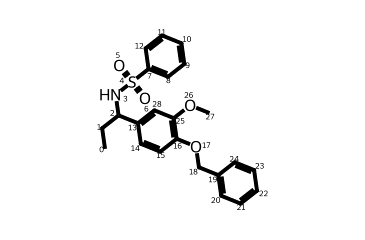 CCC(NS(=O)(=O)c1ccccc1)c1ccc(OCc2ccccc2)c(OC)c1